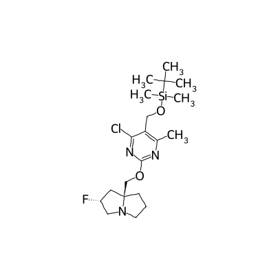 Cc1nc(OC[C@@]23CCCN2C[C@H](F)C3)nc(Cl)c1CO[Si](C)(C)C(C)(C)C